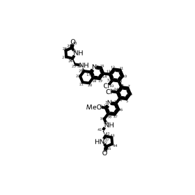 COc1nc(-c2cccc(-c3cccc(-c4cnc5c(c4)CCC[C@@H]5NC[C@H]4CCC(=O)N4)c3Cl)c2Cl)ccc1CNC[C@@H]1CCC(=O)N1